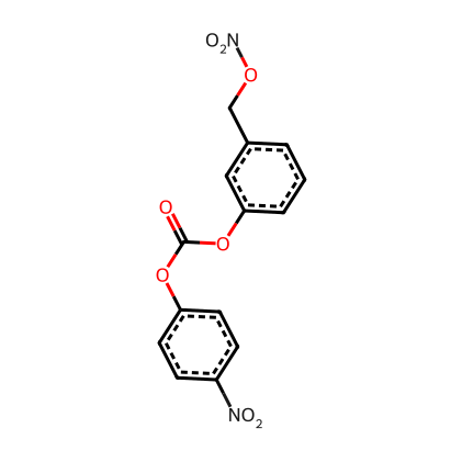 O=C(Oc1ccc([N+](=O)[O-])cc1)Oc1cccc(CO[N+](=O)[O-])c1